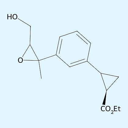 CCOC(=O)[C@@H]1CC1c1cccc(C2(C)OC2CO)c1